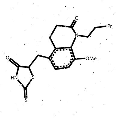 COc1ccc(CC2SC(=S)NC2=O)c2c1N(CCC(C)C)C(=O)CC2